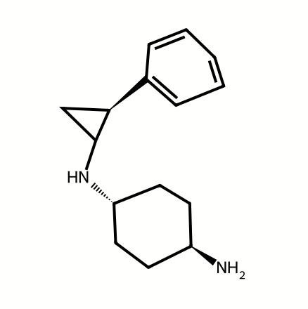 N[C@H]1CC[C@H](NC2C[C@H]2c2ccccc2)CC1